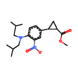 COC(=O)C1CC1c1ccc(N(CC(C)C)CC(C)C)c([N+](=O)[O-])c1